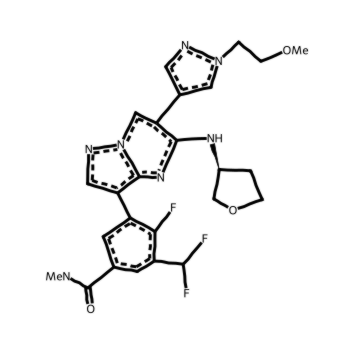 CNC(=O)c1cc(-c2cnn3cc(-c4cnn(CCOC)c4)c(N[C@H]4CCOC4)nc23)c(F)c(C(F)F)c1